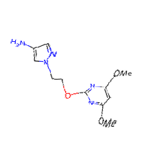 COc1cc(OC)nc(OCCn2cc(N)cn2)n1